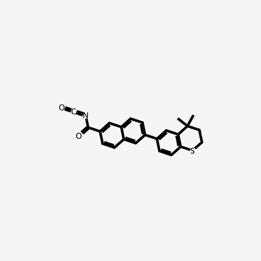 CC1(C)CCSc2ccc(-c3ccc4cc(C(=O)N=C=O)ccc4c3)cc21